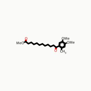 COC(=O)CCCCCCCCCCC(=O)c1cc(OC)c(OC)cc1C